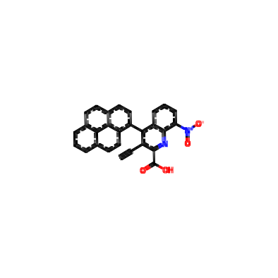 C#Cc1c(C(=O)O)nc2c([N+](=O)[O-])cccc2c1-c1ccc2ccc3cccc4ccc1c2c34